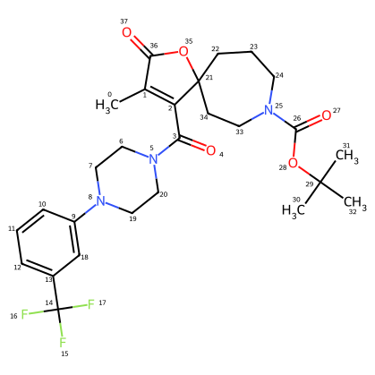 CC1=C(C(=O)N2CCN(c3cccc(C(F)(F)F)c3)CC2)C2(CCCN(C(=O)OC(C)(C)C)CC2)OC1=O